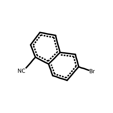 N#Cc1cccc2cc(Br)ccc12